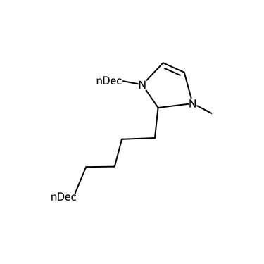 CCCCCCCCCCCCCCC1N(C)C=CN1CCCCCCCCCC